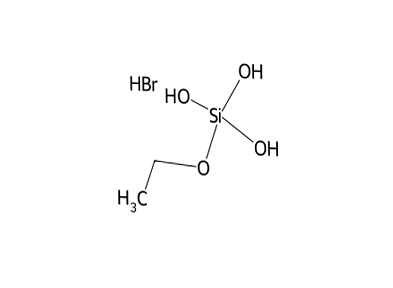 Br.CCO[Si](O)(O)O